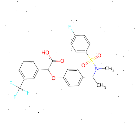 CC(c1ccc(OC(C(=O)O)c2cccc(C(F)(F)F)c2)cc1)N(C)S(=O)(=O)c1ccc(F)cc1